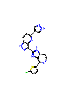 Clc1ccc(-c2nccc3[nH]c(-c4n[nH]c5ccc(-c6cn[nH]c6)nc45)nc23)s1